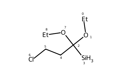 CCOC([SiH3])(CCCl)OCC